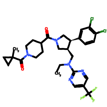 CCN(C[C@H]1CN(C(=O)C2CCN(C(=O)C3(C)CC3)CC2)C[C@@H]1c1ccc(Cl)c(Cl)c1)c1ncc(C(F)(F)F)cn1